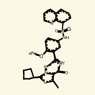 CCCOc1ccc(NS(=O)(=O)c2cccc3cccnc23)cc1-c1nn2c(C3CCCC3)nc(C)c2c(=O)[nH]1